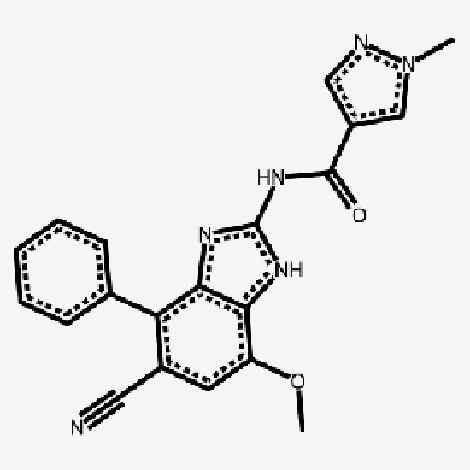 COc1cc(C#N)c(-c2ccccc2)c2nc(NC(=O)c3cnn(C)c3)[nH]c12